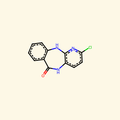 O=C1Nc2ccc(Cl)nc2Nc2ccccc21